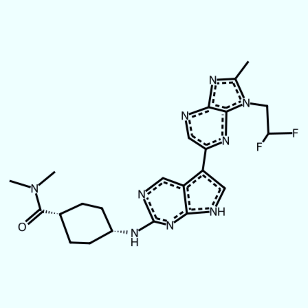 Cc1nc2ncc(-c3c[nH]c4nc(N[C@H]5CC[C@@H](C(=O)N(C)C)CC5)ncc34)nc2n1CC(F)F